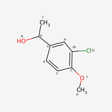 COc1ccc(C(C)O)cc1Cl